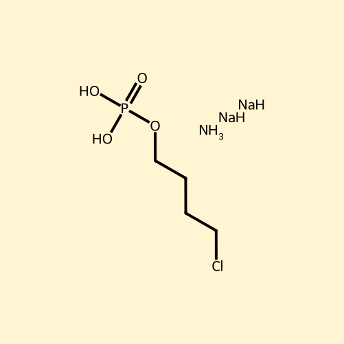 N.O=P(O)(O)OCCCCCl.[NaH].[NaH]